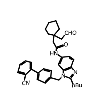 CCCCc1nc2ccc(NC(=O)CC3(CC=O)CCCCC3)cc2n1Cc1ccc(-c2ccccc2C#N)cc1